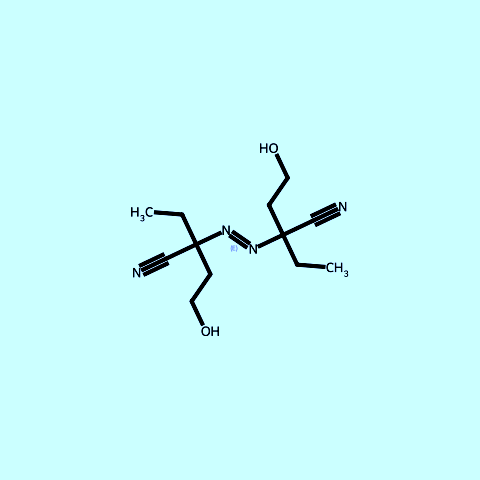 CCC(C#N)(CCO)/N=N/C(C#N)(CC)CCO